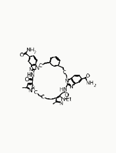 CCn1nc(C)c2c1C(=O)Nc1nc3cc(C(N)=O)ccc3n1CCCc1cccc(c1)CCn1c(nc3cc(C(N)=O)ccc31)NC(=O)c1cc(C)nn1CCCCC2